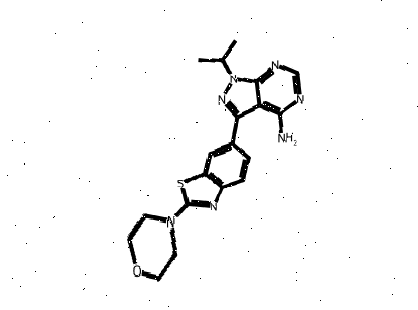 CC(C)n1nc(-c2ccc3nc(N4CCOCC4)sc3c2)c2c(N)ncnc21